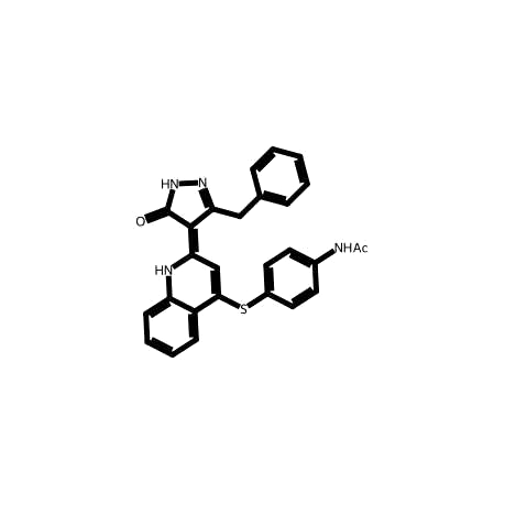 CC(=O)Nc1ccc(SC2=CC(=C3C(=O)NN=C3Cc3ccccc3)Nc3ccccc32)cc1